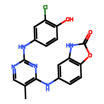 Cc1cnc(Nc2ccc(O)c(Cl)c2)nc1Nc1ccc2oc(=O)[nH]c2c1